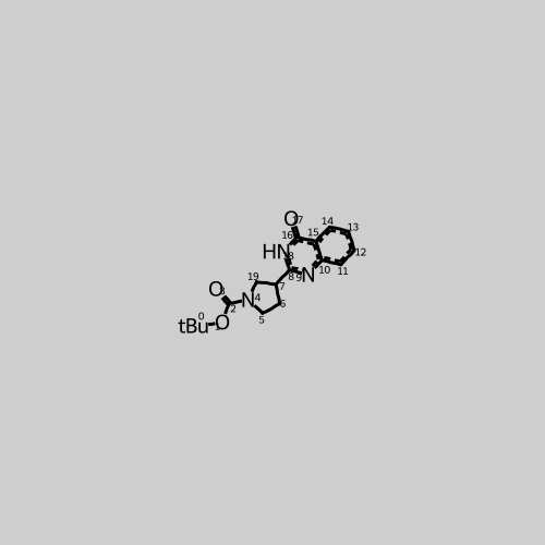 CC(C)(C)OC(=O)N1CCC(c2nc3ccccc3c(=O)[nH]2)C1